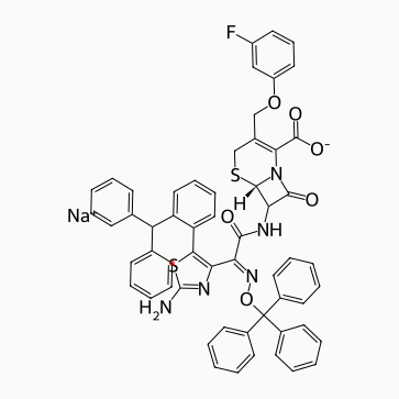 Nc1nc(C(=NOC(c2ccccc2)(c2ccccc2)c2ccccc2)C(=O)NC2C(=O)N3C(C(=O)[O-])=C(COc4cccc(F)c4)CS[C@@H]23)c(-c2ccccc2C(c2ccccc2)c2ccccc2)s1.[Na+]